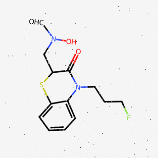 O=CN(O)CC1Sc2ccccc2N(CCCF)C1=O